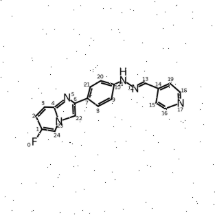 Fc1ccc2nc(-c3ccc(NN=Cc4ccncc4)cc3)cn2c1